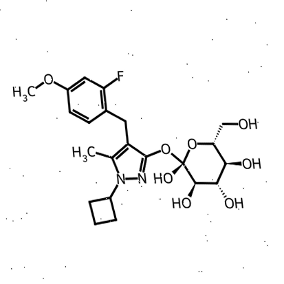 COc1ccc(Cc2c(O[C@]3(O)O[C@H](CO)[C@@H](O)[C@H](O)[C@H]3O)nn(C3CCC3)c2C)c(F)c1